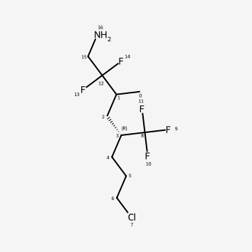 CC(C[C@@H](CCCCl)C(F)(F)F)C(F)(F)CN